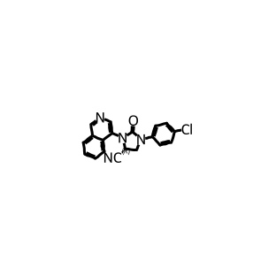 N#C[C@H]1CN(c2ccc(Cl)cc2)C(=O)N1c1cncc2ccccc12